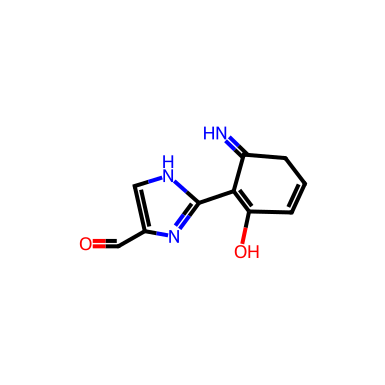 N=C1CC=CC(O)=C1c1nc(C=O)c[nH]1